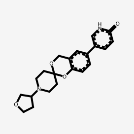 O=c1ccc(-c2ccc3c(c2)COC2(CCN(C4CCOC4)CC2)O3)c[nH]1